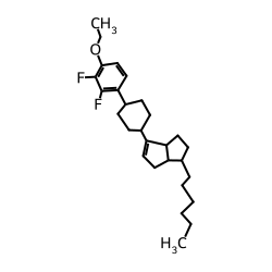 CCCCCCC1CCC2C(C3CCC(c4ccc(OCC)c(F)c4F)CC3)=CCC12